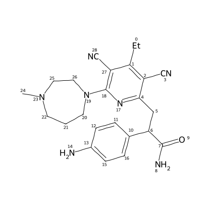 CCc1c(C#N)c(CC(C(N)=O)c2ccc(N)cc2)nc(N2CCCN(C)CC2)c1C#N